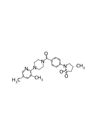 Cc1cnc(N2CCN(C(=O)c3ccc(N4C[C@H](C)CS4(=O)=O)cc3)CC2)c(C)c1